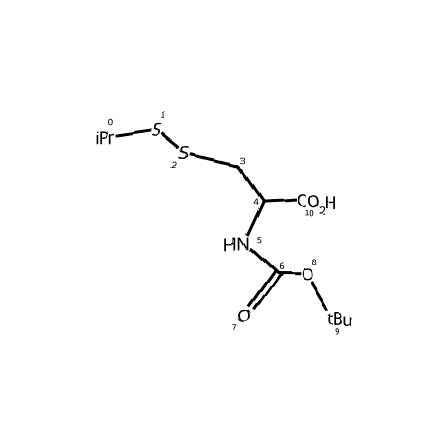 CC(C)SSCC(NC(=O)OC(C)(C)C)C(=O)O